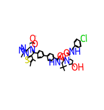 COC(=O)C[C@@H]1N=C(c2ccc(-c3ccc(C(=O)N[C@H](C(=O)N4C[C@H](O)C[C@H]4C(=O)NCc4ccc(Cl)cc4)C(C)(C)C)cc3)cc2)c2c(sc(C)c2C)-n2c(C)nnc21